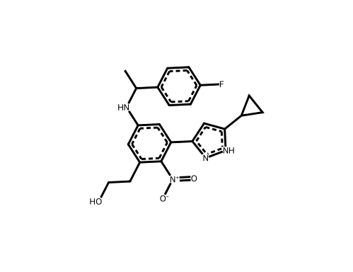 CC(Nc1cc(CCO)c([N+](=O)[O-])c(-c2cc(C3CC3)[nH]n2)c1)c1ccc(F)cc1